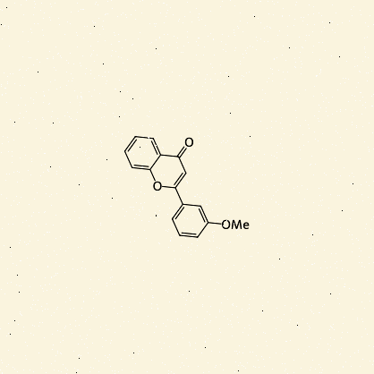 COc1cccc(-c2cc(=O)c3ccccc3o2)c1